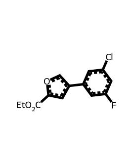 CCOC(=O)c1cc(-c2cc(F)cc(Cl)c2)co1